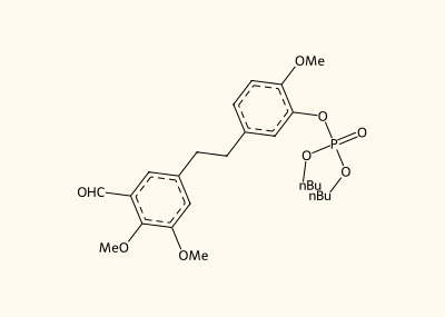 CCCCOP(=O)(OCCCC)Oc1cc(CCc2cc(C=O)c(OC)c(OC)c2)ccc1OC